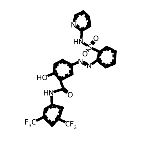 O=C(Nc1cc(C(F)(F)F)cc(C(F)(F)F)c1)c1cc(N=Nc2ccccc2S(=O)(=O)Nc2ccccn2)ccc1O